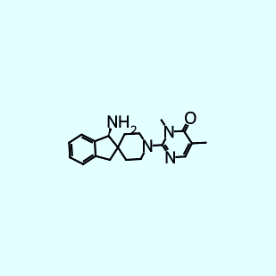 Cc1cnc(N2CCC3(CC2)Cc2ccccc2[C@H]3N)n(C)c1=O